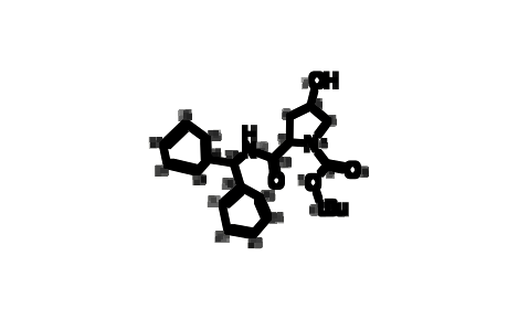 CC(C)(C)OC(=O)N1CC(O)CC1C(=O)NC(c1ccccc1)c1ccccc1